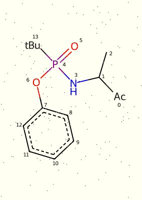 CC(=O)C(C)NP(=O)(Oc1ccccc1)C(C)(C)C